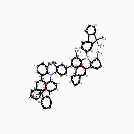 Cc1cc(-c2ccc(N(c3ccc4c(c3)C(C)(C)c3ccccc3-4)c3c(C)cccc3-c3ccc4ccccc4c3)c(C)c2)ccc1N(c1ccc2c(c1)C(C)(C)c1ccccc1-2)c1c(C)cccc1-c1ccc2ccccc2c1